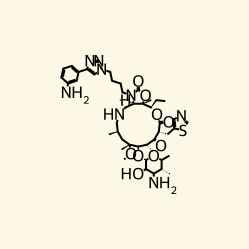 CC[C@H]1OC(=O)[C@H](Cc2cncs2)C(=O)[C@H](C)[C@@H](O[C@@H]2OC(C)[C@H](C)C(N)C2O)[C@](C)(OC)C[C@@H](C)CN[C@H](C)[C@H]2N(CCCCn3cc(-c4cccc(N)c4)nn3)C(=O)O[C@]12C